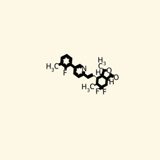 Cc1cccc(-c2ccc(/C=C/[C@@H]3[C@@H]4[C@@H](C)OC(=O)[C@@H]4CC(F)(F)[C@H]3C)nc2)c1F